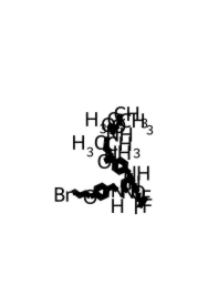 CC(C)(CNC(=O)OC(C)(C)C)CNC(=O)c1ccc(Nc2cc(NCc3ccc(OCCCBr)cc3)nc(OCC(F)(F)F)n2)cc1